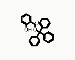 O=C(OC(c1ccccc1)(c1ccccc1)c1ccccc1)c1ccccc1O